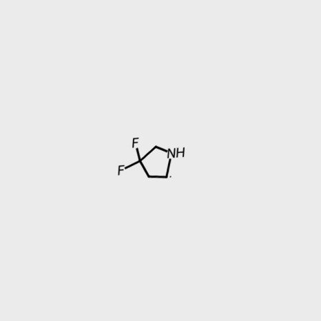 FC1(F)C[CH]NC1